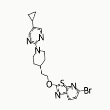 Brc1ccc2nc(OCCC3CCN(c4ncc(C5CC5)cn4)CC3)sc2n1